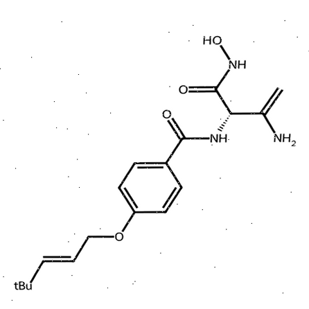 C=C(N)[C@H](NC(=O)c1ccc(OC/C=C/C(C)(C)C)cc1)C(=O)NO